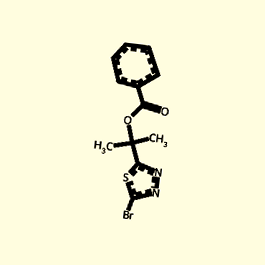 CC(C)(OC(=O)c1ccccc1)c1nnc(Br)s1